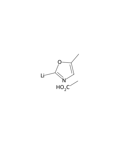 CC(=O)O.[Li][c]1ncc(C)o1